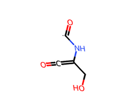 O=[C]NC(=C=O)CO